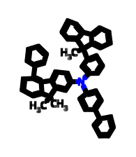 CC1(C)c2cc(N(c3ccc(-c4ccccc4)cc3)c3cccc(C4(C)c5ccccc5-c5ccccc54)c3)ccc2-c2c(-c3ccccc3)cccc21